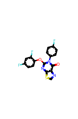 O=c1c2ncsc2nc(Oc2ccc(F)cc2F)n1-c1ccc(F)cc1